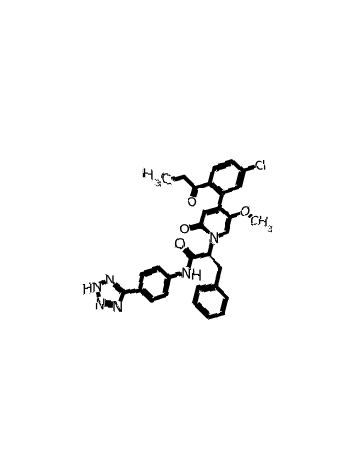 CCC(=O)c1ccc(Cl)cc1-c1cc(=O)n([C@@H](Cc2ccccc2)C(=O)Nc2ccc(-c3nn[nH]n3)cc2)cc1OC